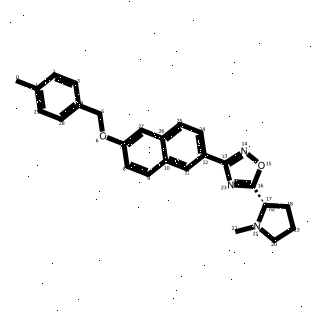 Cc1ccc(COc2ccc3cc(-c4noc([C@@H]5CCCN5C)n4)ccc3c2)cc1